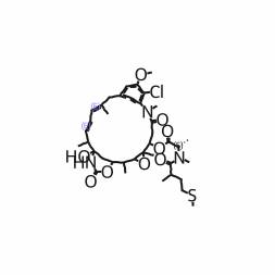 COc1cc2cc(c1Cl)N(C)C(=O)CC(OC(=O)[C@H](C)N(C)C(=O)C(C)CCSC)C1(C)OC1C(C)C1CC(O)(NC(=O)O1)C(C)/C=C/C=C(\C)C2